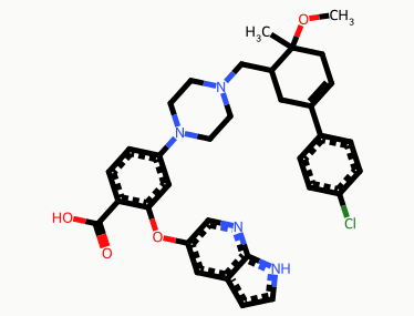 COC1(C)CC=C(c2ccc(Cl)cc2)CC1CN1CCN(c2ccc(C(=O)O)c(Oc3cnc4[nH]ccc4c3)c2)CC1